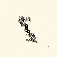 COC(=O)N[C@H](C(=O)N1[C@@H](C)CC[C@H]1c1nc(Cl)c(-c2ccc3c(c2)COc2cc4c(ccc5nc([C@@H]6CC[C@H](C)N6C(=O)[C@@H](NC(=O)OC)[C@@H](C)OC(C)(C)C)[nH]c54)cc2-3)[nH]1)C(C)C